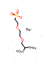 CCCCCCCCC(CCCCCC)COCCOCCS(=O)(=O)[O-].[Na+]